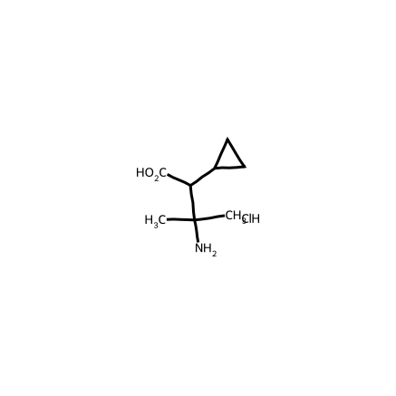 CC(C)(N)C(C(=O)O)C1CC1.Cl